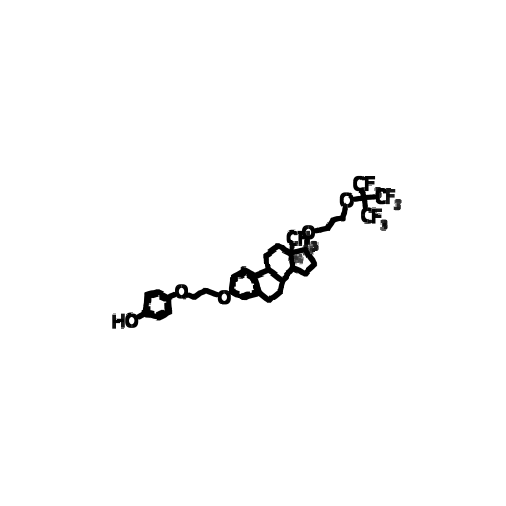 C[C@]12CCC3c4ccc(OCCOc5ccc(O)cc5)cc4CCC3C1CC[C@@H]2OCCCOC(C(F)(F)F)(C(F)(F)F)C(F)(F)F